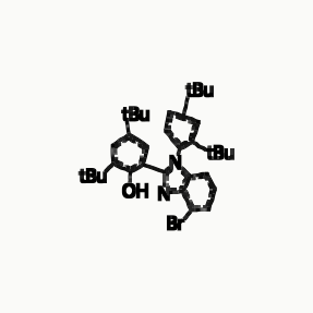 CC(C)(C)c1ccc(-n2c(-c3cc(C(C)(C)C)cc(C(C)(C)C)c3O)nc3c(Br)cccc32)c(C(C)(C)C)c1